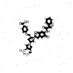 CO[C@H]1CN([C@H]2C[C@@H](CO[C@H]3CC[C@H](C(=O)O)CC3)N(C(=O)Cc3cc(Cl)c(NC(=O)c4coc5ccccc45)cc3Cl)C2)C[C@@H]1C